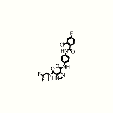 O=C(Nc1ccc(NC(=O)c2nc[nH]c2C(=O)NCC(F)F)cc1)c1ccc(F)cc1Cl